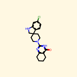 O=c1[nH]c(N2CCC3(CC2)CNc2cc(Cl)ccc23)nc2c1CCCC2